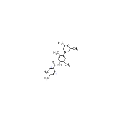 C/C=C(\C=C/CN)C(=O)Nc1cc(C)c(N2CC(C)OC(C)C2)cc1C